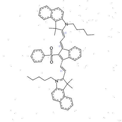 CCCCCN1/C(=C/C=C2C(S(=O)(=O)c3ccccc3)=C(/C=C/C3=[N+](CCCCC)c4ccc5ccccc5c4C3(C)C)c3ccccc3/2)C(C)(C)c2c1ccc1ccccc21